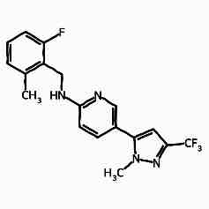 Cc1cccc(F)c1CNc1ccc(-c2cc(C(F)(F)F)nn2C)cn1